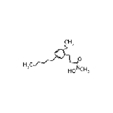 CCCCCCc1ccc(SC)c(C=CC(=O)N(C)O)c1